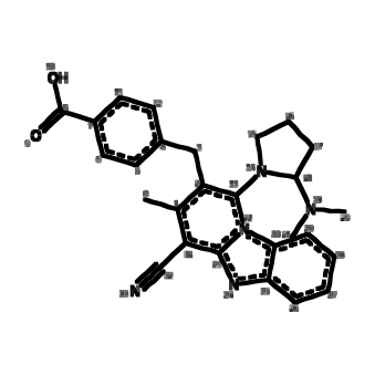 Cc1c(Cc2ccc(C(=O)O)cc2)c(N2CCCC2N(C)C)n2c(nc3ccccc32)c1C#N